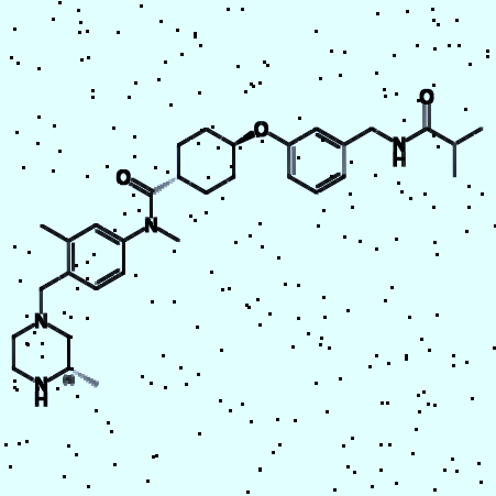 Cc1cc(N(C)C(=O)[C@H]2CC[C@H](Oc3cccc(CNC(=O)C(C)C)c3)CC2)ccc1CN1CCN[C@@H](C)C1